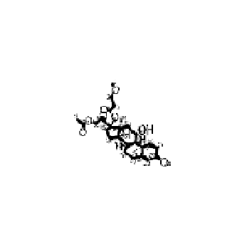 COCCC(=O)O[C@]1(C(=O)COC(C)=O)CC[C@H]2[C@@H]3CCC4=CC(=O)C=C[C@]4(C)[C@H]3C(O)C[C@@]21C